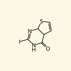 O=C1NC(I)=NC2SC=CC12